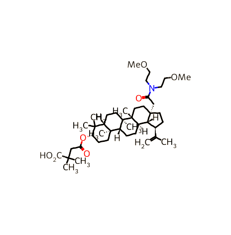 C=C(C)[C@@H]1CC[C@]2(CC(=O)N(CCOC)CCOC)CC[C@]3(C)[C@H](CC[C@@H]4[C@@]5(C)CC[C@H](OC(=O)CC(C)(C)C(=O)O)C(C)(C)[C@@H]5CC[C@]43C)[C@@H]12